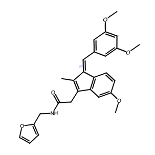 COc1[c]c(OC)cc(/C=C2/C(C)=C(CC(=O)NCc3ccco3)c3cc(OC)ccc32)c1